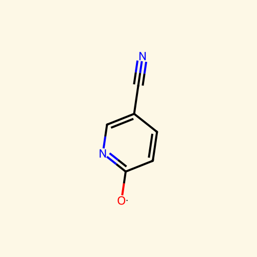 N#Cc1ccc([O])nc1